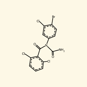 NC(=O)N(C(=O)c1c(Cl)cccc1Cl)c1ccc(Br)c(Cl)c1